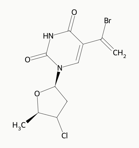 C=C(Br)c1cn([C@H]2CC(Cl)[C@@H](C)O2)c(=O)[nH]c1=O